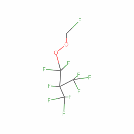 FCOOC(F)(F)C(F)(C(F)(F)F)C(F)(F)F